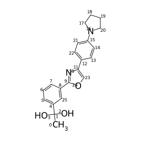 CC(O)(O)c1cccc(-c2nc(-c3ccc(N4CCCC4)cc3)co2)c1